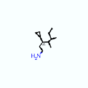 CCC(C)C(C)[C@@H](CCN)C1CC1